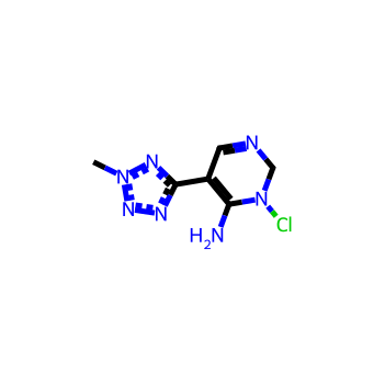 Cn1nnc(C2=C(N)N(Cl)CN=C2)n1